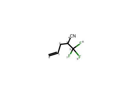 C=CCC(C#N)C(F)(F)F